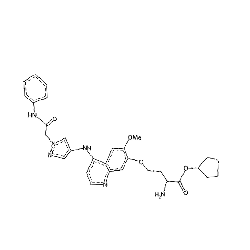 COc1cc2c(Nc3cnn(CC(=O)Nc4ccccc4)c3)ccnc2cc1OCCC(N)C(=O)OC1CCCC1